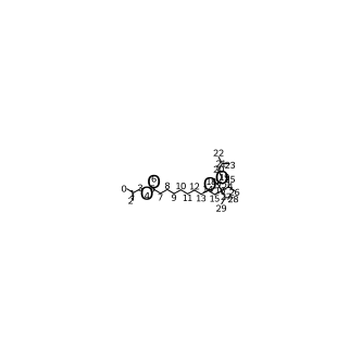 CC(C)COC(=O)CCCCCCCCCC(C(=O)OCC(C)C)(C(C)C)C(C)C